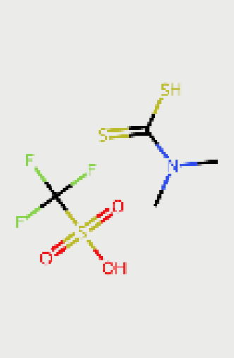 CN(C)C(=S)S.O=S(=O)(O)C(F)(F)F